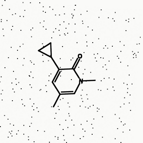 Cc1cc(C2CC2)c(=O)n(C)c1